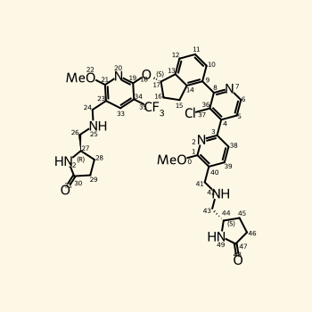 COc1nc(-c2ccnc(-c3cccc4c3CC[C@@H]4Oc3nc(OC)c(CNC[C@H]4CCC(=O)N4)cc3C(F)(F)F)c2Cl)ccc1CNC[C@@H]1CCC(=O)N1